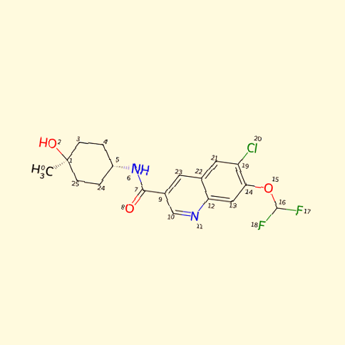 C[C@]1(O)CC[C@H](NC(=O)c2cnc3cc(OC(F)F)c(Cl)cc3c2)CC1